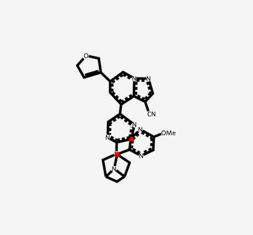 COc1cnc(CN2C3CC2CN(c2cnc(-c4cc(C5=CCOC5)cn5ncc(C#N)c45)cn2)C3)cn1